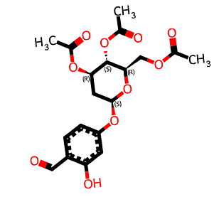 CC(=O)OC[C@H]1O[C@@H](Oc2ccc(C=O)c(O)c2)C[C@@H](OC(C)=O)[C@@H]1OC(C)=O